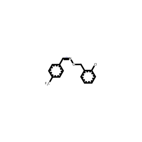 FC(F)(F)c1ccc(/[C]=N\OCc2ccccc2Cl)cc1